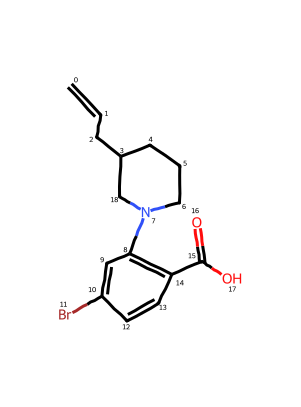 C=CCC1CCCN(c2cc(Br)ccc2C(=O)O)C1